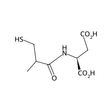 CC(CS)C(=O)N[C@@H](CC(=O)O)C(=O)O